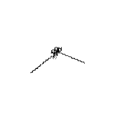 CCCCCCCCCCCCCCCCCC(=O)C(C(C)O)N(C)C(C(=O)CCCCCCCCCCCCCCCCC)C(C)O